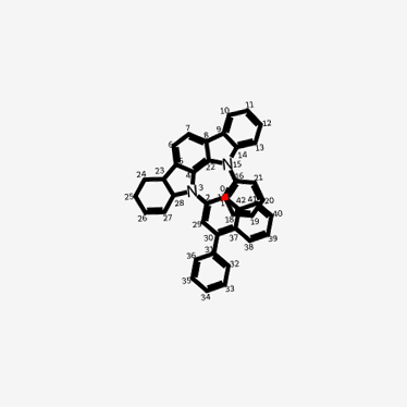 CC1C(N2c3c(ccc4c5ccccc5n(-c5ccccc5)c34)C3CCC=CC32)=CC(c2ccccc2)=C2C=CC=CC21